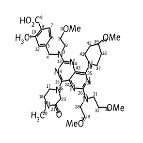 COCCN(Cc1ccc(C(=O)O)c(C)c1)c1nc(N2CCN(C)C(=O)C2)c2nc(N(CCOC)CCOC)nc(N3CCC(OC)CC3)c2n1